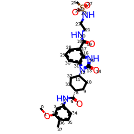 COc1cc(NC(=O)[C@H]2CC[C@@H](n3c(=O)[nH]c4c(C(=O)NCCNS(C)(=O)=O)cccc43)CC2)ccc1C